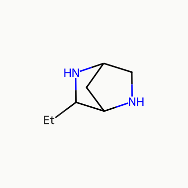 CCC1NC2CNC1C2